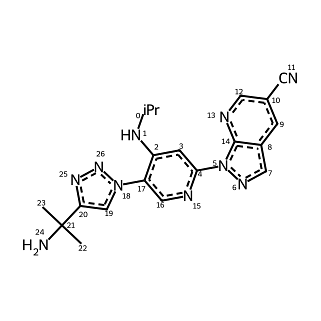 CC(C)Nc1cc(-n2ncc3cc(C#N)cnc32)ncc1-n1cc(C(C)(C)N)nn1